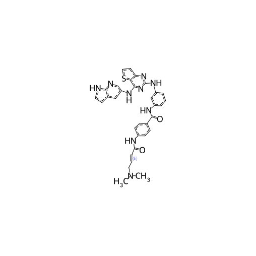 CN(C)C/C=C/C(=O)Nc1ccc(C(=O)Nc2cccc(Nc3nc(Nc4cnc5[nH]ccc5c4)c4sccc4n3)c2)cc1